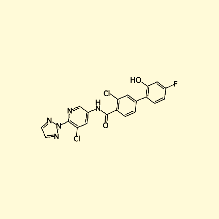 O=C(Nc1cnc(-n2nccn2)c(Cl)c1)c1ccc(-c2ccc(F)cc2O)cc1Cl